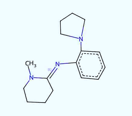 CN1CCCC/C1=N\c1ccccc1N1CCCC1